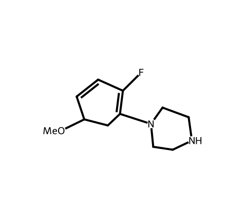 COC1C=CC(F)=C(N2CCNCC2)C1